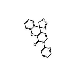 O=c1c2c(ccn1-c1ccccn1)C1(COC=N1)c1ccccc1O2